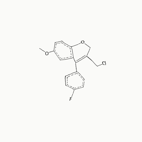 COc1ccc2c(c1)C(c1ccc(F)cc1)=C(CCl)CO2